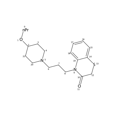 CCCOC1CCN(CCCN2C(=O)CSc3ccccc32)CC1